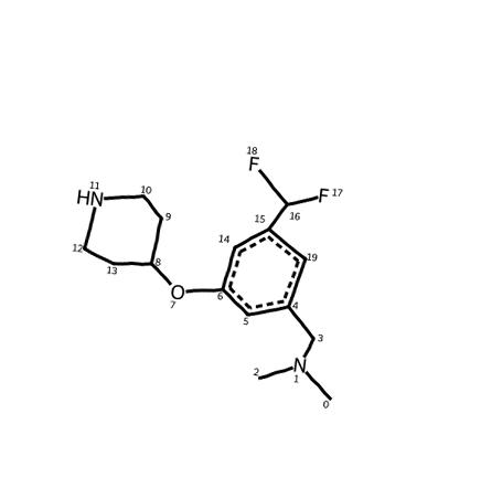 CN(C)Cc1cc(OC2CCNCC2)cc(C(F)F)c1